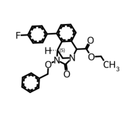 CCOC(=O)C1c2cccc(-c3ccc(F)cc3)c2[C@H]2CN1C(=O)N2OCc1ccccc1